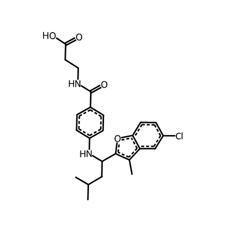 Cc1c(C(CC(C)C)Nc2ccc(C(=O)NCCC(=O)O)cc2)oc2ccc(Cl)cc12